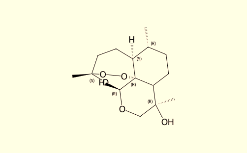 C[C@@H]1CCC2[C@]34OO[C@@](C)(CC[C@@H]13)O[C@H]4OC[C@]2(C)O